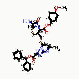 COc1ccc(COC(=O)C2=C(CSc3cc(C)nc4nc(C(=O)OC(c5ccccc5)c5ccccc5)nn34)CS[C@H]3C(N)C(=O)N23)cc1